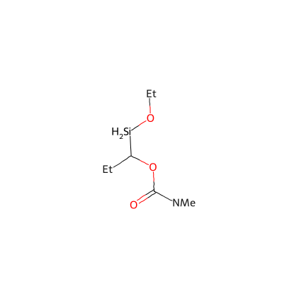 CCO[SiH2]C(CC)OC(=O)NC